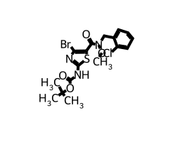 CON(Cc1ccccc1Cl)C(=O)c1sc(NC(=O)OC(C)(C)C)nc1Br